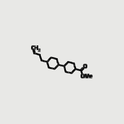 C=CCCC1CCC(C2CCC(C(=O)OC)CC2)CC1